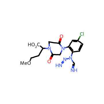 COCCC(C(=O)O)N1CC(=O)N(c2cc(Cl)ccc2N(C=N)N=N)CC1=O